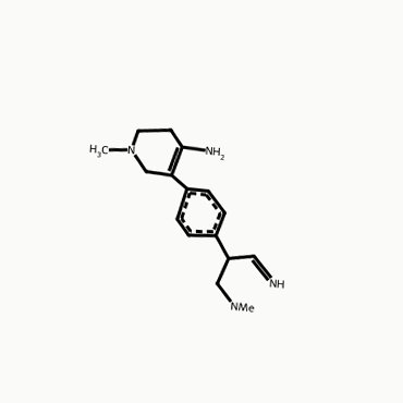 CNCC(C=N)c1ccc(C2=C(N)CCN(C)C2)cc1